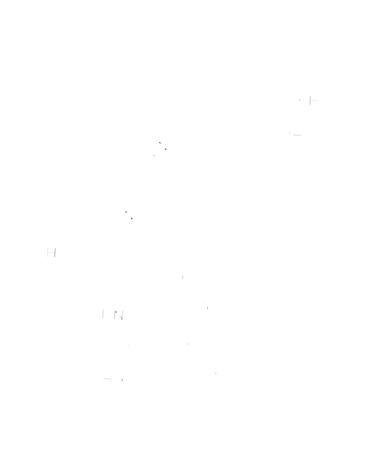 CPCCC(N)CN[C@@H](C)C(=O)N[C@@H](C)C(=O)O